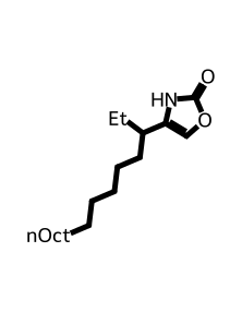 CCCCCCCCCCCCCC(CC)c1coc(=O)[nH]1